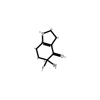 O=C1C2=C(CCC1(F)Br)SCC2